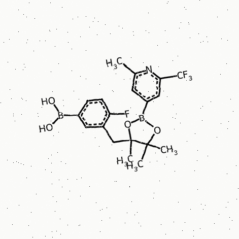 Cc1cc(B2OC(C)(C)C(C)(Cc3cc(B(O)O)ccc3F)O2)cc(C(F)(F)F)n1